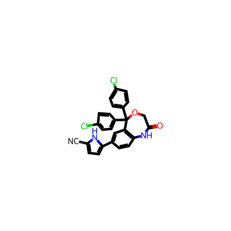 N#Cc1ccc(-c2ccc3c(c2)C(c2ccc(Cl)cc2)(c2ccc(Cl)cc2)OCC(=O)N3)[nH]1